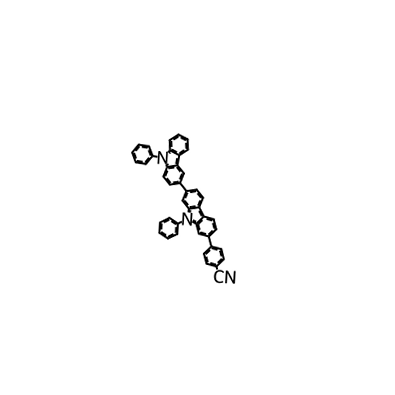 N#Cc1ccc(-c2ccc3c4ccc(-c5ccc6c(c5)c5ccccc5n6-c5ccccc5)cc4n(-c4ccccc4)c3c2)cc1